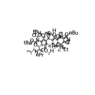 C=CCN(CCC)C(Cc1c(F)c2c(c(OCCCC)c1N(C(=O)OC(C)(C)C)C(=O)OC(C)(C)C)C(=O)C1=C(O)[C@]3(O)C(=O)c4c(OCCCC)noc4[C@@H](N(C)CC)[C@@H]3C[C@@H]1C2)C(=O)O